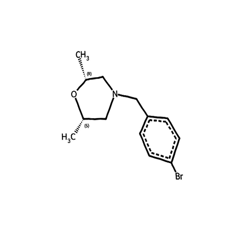 C[C@@H]1CN(Cc2ccc(Br)cc2)C[C@H](C)O1